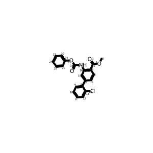 COC(=O)c1ccc(-c2ccccc2Cl)cc1NC(=O)Oc1ccccc1